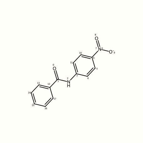 O=C(Nc1ccc([N+](=O)[O-])cc1)c1cc[c]cc1